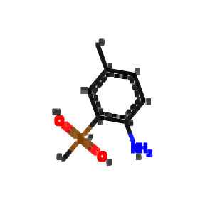 Cc1ccc(N)c(S(C)(=O)=O)c1